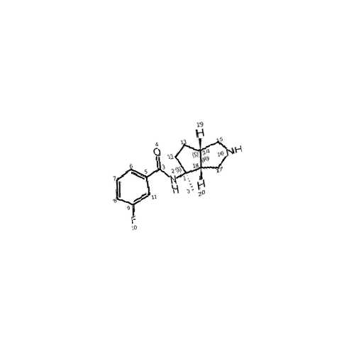 C[C@]1(NC(=O)c2cccc(F)c2)CC[C@@H]2CNC[C@@H]21